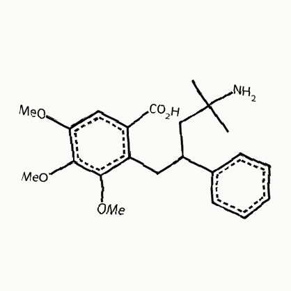 COc1cc(C(=O)O)c(CC(CC(C)(C)N)c2ccccc2)c(OC)c1OC